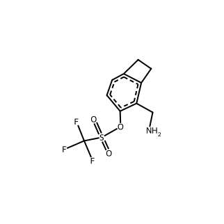 NCc1c(OS(=O)(=O)C(F)(F)F)ccc2c1CC2